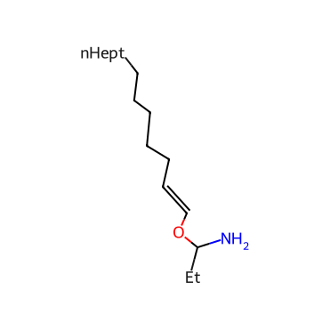 CCCCCCCCCCCCC=COC(N)CC